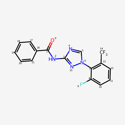 O=C(Nc1ncn(-c2c(F)cccc2C(F)(F)F)n1)c1ccccc1